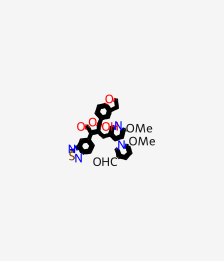 COc1ccc(C=O)cn1.COc1ccc(CC2=C(c3ccc4nsnc4c3)C(=O)OC2(O)c2ccc3c(c2)CCO3)cn1